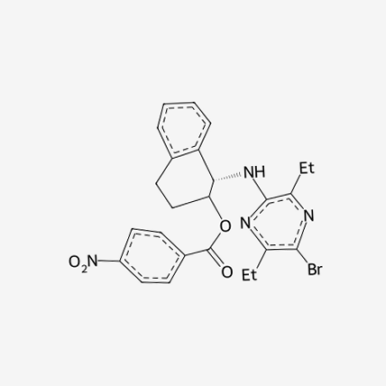 CCc1nc(N[C@H]2c3ccccc3CCC2OC(=O)c2ccc([N+](=O)[O-])cc2)c(CC)nc1Br